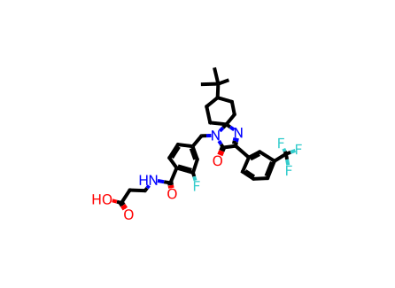 CC(C)(C)C1CCC2(CC1)N=C(c1cccc(C(F)(F)F)c1)C(=O)N2Cc1ccc(C(=O)NCCC(=O)O)c(F)c1